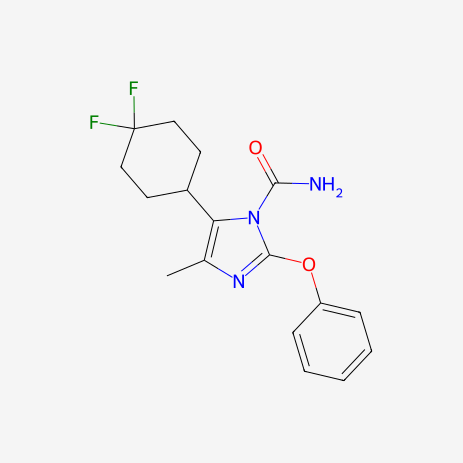 Cc1nc(Oc2ccccc2)n(C(N)=O)c1C1CCC(F)(F)CC1